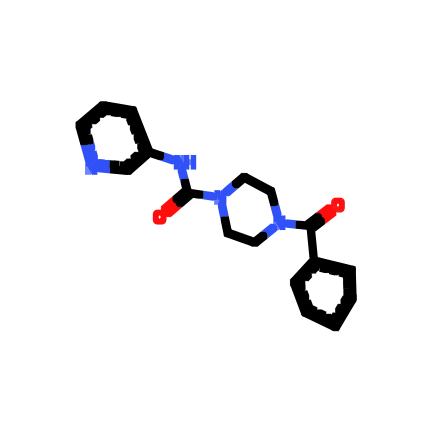 O=C(Nc1cccnc1)N1CCN(C(=O)c2ccccc2)CC1